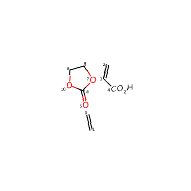 C=C.C=CC(=O)O.O=C1OCCO1